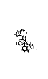 COc1c(F)cccc1C(C)(C)NC(=O)CC1CCCN1C